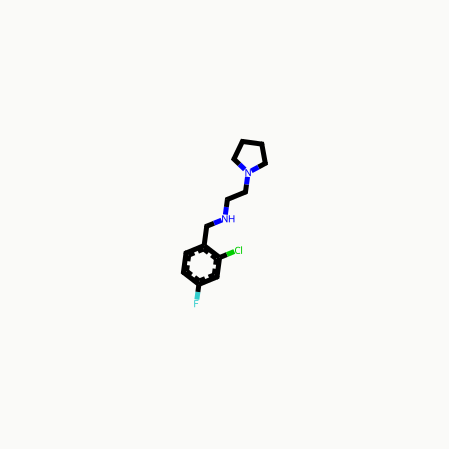 Fc1ccc(CNCCN2CCCC2)c(Cl)c1